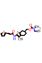 CC(C)CN(C)C(=O)OCC1CCc2c(sc(NC(=O)C=Cc3cccs3)c2C#N)C1